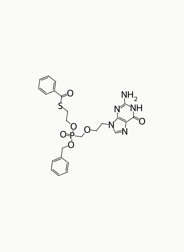 Nc1nc2c(ncn2CCOCP(=O)(OCCSC(=O)c2ccccc2)OCc2ccccc2)c(=O)[nH]1